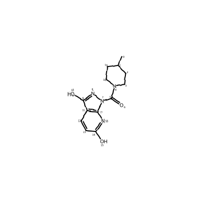 CC1CCN(C(=O)n2nc(O)c3ccc(O)nc32)CC1